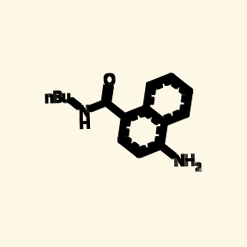 CCCCNC(=O)c1ccc(N)c2ccccc12